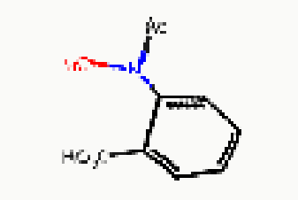 CC(=O)N(O)c1ccccc1C(=O)O